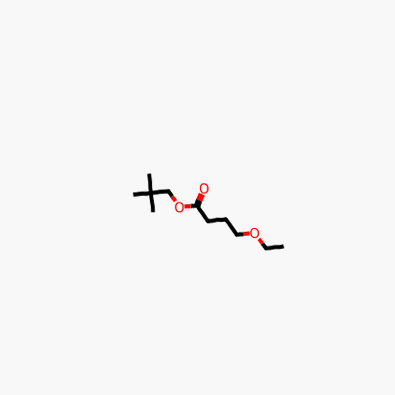 CCOCCCC(=O)OCC(C)(C)C